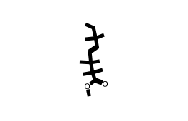 CCC(C)(C)/C=C/C(C)(C)C(C)(C)C(=O)OC